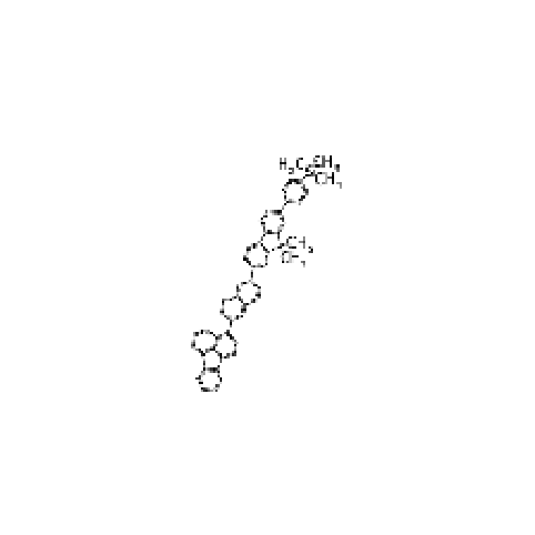 CC1(C)c2cc(-c3ccc([Si](C)(C)C)cc3)ccc2-c2ccc(-c3ccc4cc(-c5ccc6c7c(cccc57)-c5ccccc5-6)ccc4c3)cc21